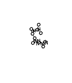 c1ccc(-c2cc(-n3c4ccccc4c4ccc(-c5ccc6c(c5)c5ccccc5n6-c5ncc(-n6c7ccccc7c7ncccc76)cn5)cc43)cc(-c3ccccc3)n2)cc1